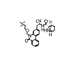 CS(C)(C)CCOCn1c(=O)c2ccccc2c2ccc(CC(C#N)NC(=O)[C@H]3N[C@@H]4CC[C@H]3C4)cc21